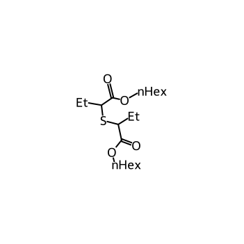 CCCCCCOC(=O)C(CC)SC(CC)C(=O)OCCCCCC